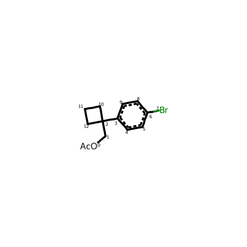 CC(=O)OCC1(c2ccc(Br)cc2)CCC1